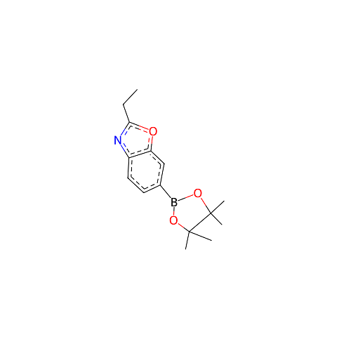 CCc1nc2ccc(B3OC(C)(C)C(C)(C)O3)cc2o1